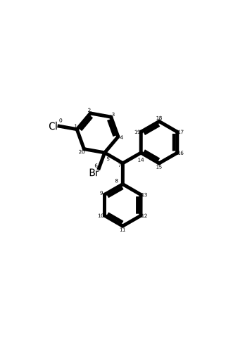 ClC1=CC=CC(Br)(C(c2ccccc2)c2ccccc2)C1